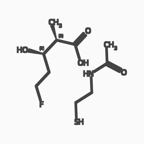 CC(=O)NCCS.C[C@H](C(=O)O)[C@H](O)CCF